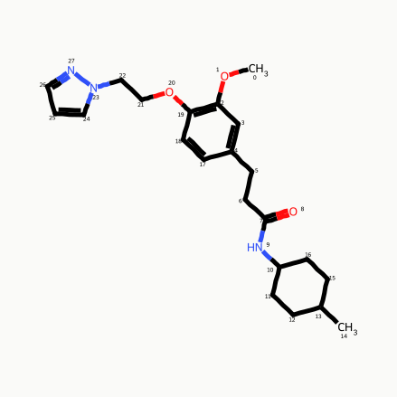 COc1cc(CCC(=O)NC2CCC(C)CC2)ccc1OCCn1cccn1